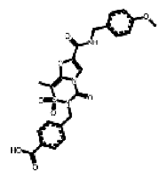 COc1ccc(CNC(=O)C2=CN3C(=O)N(Cc4ccc(C(=O)O)cc4)S(=O)(=O)C(C)=C3O2)cc1